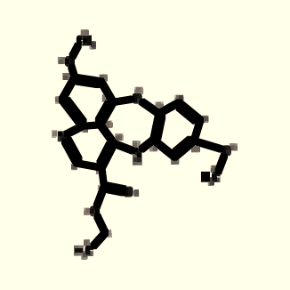 CCOC(=O)c1cnc2cc(OC)cc3c2c1Nc1cc(OC)ccc1O3